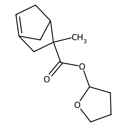 CC1(C(=O)OC2CCCO2)CC2=CCC1C2